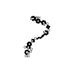 O=C1CCC(N2C(=O)c3ccc(N4CC(OCCCC#Cc5ccc(O[C@H]6C[C@H](Oc7ccc(-c8ccc9c(c8)[nH]c8ccncc89)cn7)C6)cn5)C4)cc3C2=O)C(=O)N1